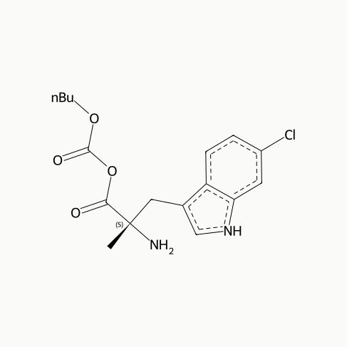 CCCCOC(=O)OC(=O)[C@@](C)(N)Cc1c[nH]c2cc(Cl)ccc12